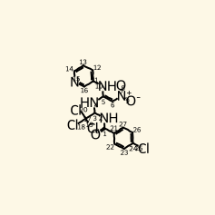 O=C(NC(NC(=C[N+](=O)[O-])Nc1cccnc1)C(Cl)(Cl)Cl)c1ccc(Cl)cc1